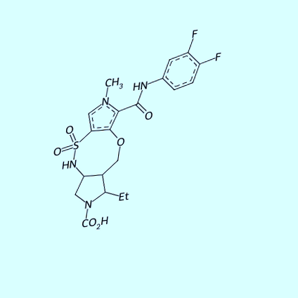 CCC1C2COc3c(cn(C)c3C(=O)Nc3ccc(F)c(F)c3)S(=O)(=O)NC2CN1C(=O)O